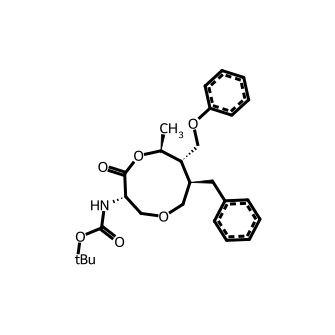 C[C@@H]1OC(=O)[C@@H](NC(=O)OC(C)(C)C)COC[C@H](Cc2ccccc2)[C@H]1COc1ccccc1